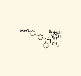 COc1ccc(-c2ccc(Sc3ccccc3C(C)C(=O)NO[Si](C)(C)C(C)(C)C)cc2)cc1